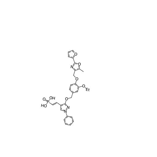 CCOc1cc(COc2nn(-c3ccccc3)cc2C=CP(=O)(O)O)ccc1OCc1nc(-c2ccco2)oc1C